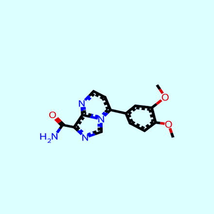 COc1ccc(-c2ccnc3c(C(N)=O)ncn23)cc1OC